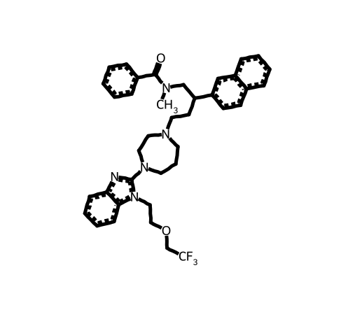 CN(CC(CCN1CCCN(c2nc3ccccc3n2CCOCC(F)(F)F)CC1)c1ccc2ccccc2c1)C(=O)c1ccccc1